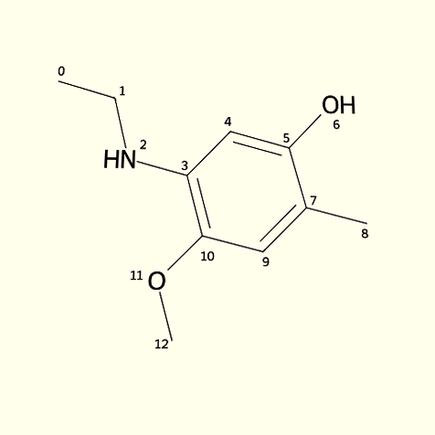 CCNc1cc(O)c(C)cc1OC